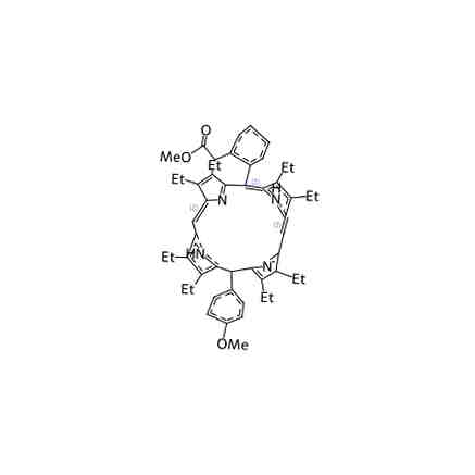 CCC1=C(CC)/C2=C/c3[nH]c(c(CC)c3CC)C(c3ccc(OC)cc3)C3=C(CC)C(CC)C(=N3)/C=c3\[nH]/c(c(CC)c3CC)=C(/c3ccccc3CC(=O)OC)C1=N2